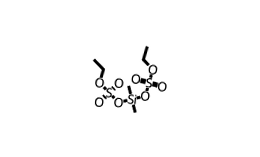 CCOS(=O)(=O)O[Si](C)(C)OS(=O)(=O)OCC